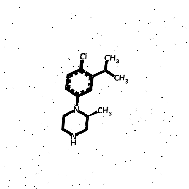 CC(C)c1cc(N2CCNC[C@@H]2C)ccc1Cl